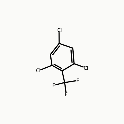 FC(F)(F)c1c(Cl)cc(Cl)cc1Cl